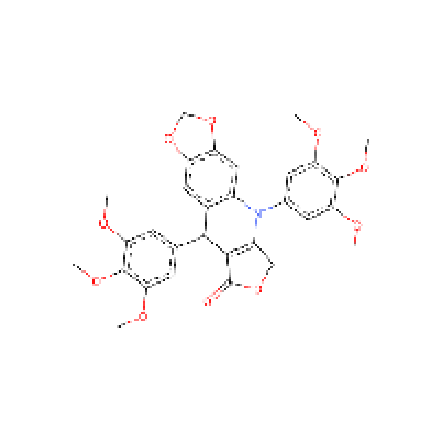 COc1cc(C2C3=C(COC3=O)N(c3cc(OC)c(OC)c(OC)c3)c3cc4c(cc32)OCO4)cc(OC)c1OC